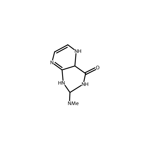 CNC1NC(=O)C2NC=CN=C2N1